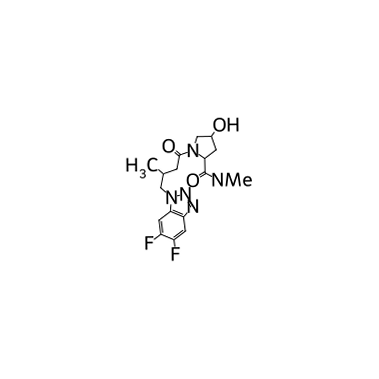 CNC(=O)C1CC(O)CN1C(=O)CC(C)Cn1nnc2cc(F)c(F)cc21